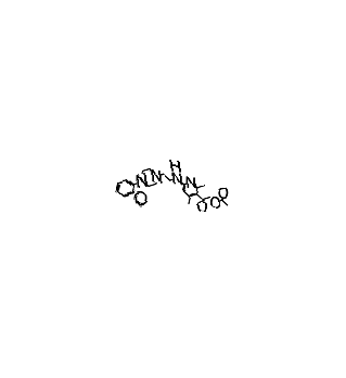 COc1ccccc1N1CCN(CCNc2cc(C)c(C(=O)COC(C)=O)c(C)n2)CC1